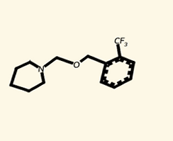 FC(F)(F)c1ccccc1COCN1[CH]CCCC1